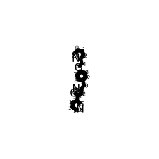 c1ccc(COc2ccc(Cc3cc(-c4cccnc4)on3)cc2)nc1